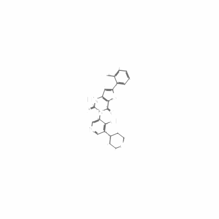 Cc1c(C2CCOCC2)cncc1-n1c(=O)[nH]c2cc(-c3ccccc3Cl)sc2c1=O